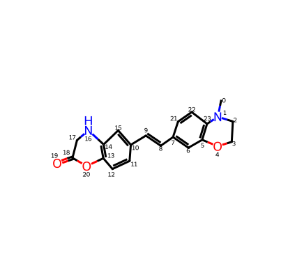 CN1CCOc2cc(C=Cc3ccc4c(c3)NCC(=O)O4)ccc21